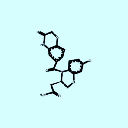 NC(=O)C[C@@H]1COc2cc(Cl)ccc2N1C(=O)c1ccc2c(c1)NC(=O)CO2